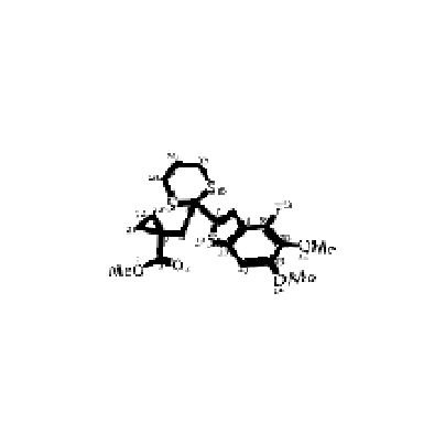 COC(=O)C1(CC2(c3cc4c(F)c(OC)c(OC)cc4s3)SCCCS2)CC1